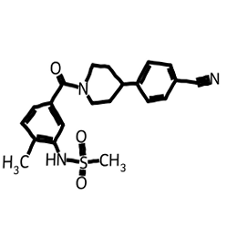 Cc1ccc(C(=O)N2CCC(c3ccc(C#N)cc3)CC2)cc1NS(C)(=O)=O